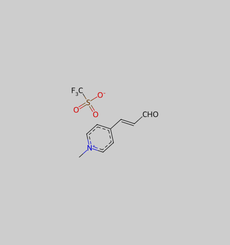 C[n+]1ccc(C=CC=O)cc1.O=S(=O)([O-])C(F)(F)F